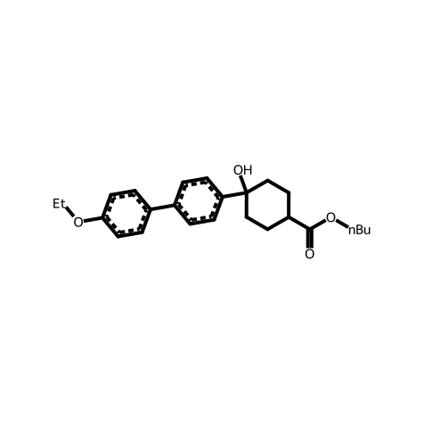 CCCCOC(=O)C1CCC(O)(c2ccc(-c3ccc(OCC)cc3)cc2)CC1